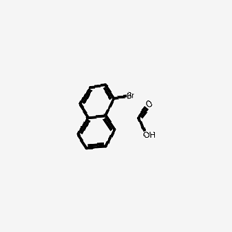 Brc1cccc2ccccc12.O=CO